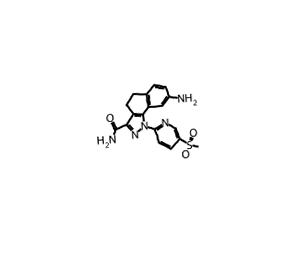 CS(=O)(=O)c1ccc(-n2nc(C(N)=O)c3c2-c2cc(N)ccc2CC3)nc1